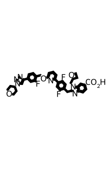 O=C(O)c1ccc2nc(Cc3cc(F)c(-c4cccc(OCc5ccc(-c6cn(C7CCOCC7)nn6)cc5F)n4)cc3F)n(CC3CCO3)c2c1